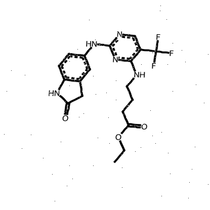 CCOC(=O)CCCNc1nc(Nc2ccc3c(c2)CC(=O)N3)ncc1C(F)(F)F